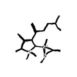 C=C(CCC(C)C)C1C(C)C(C)S(C)(C)C1[N+]1(C)C(C)N1C